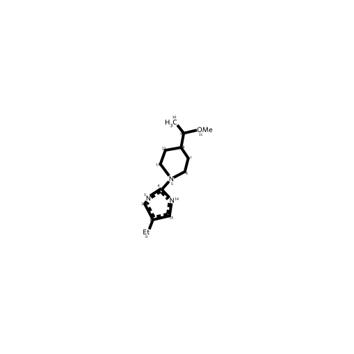 CCc1cnc(N2CCC(C(C)OC)CC2)nc1